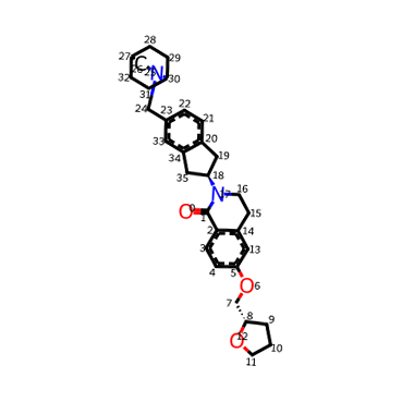 O=C1c2ccc(OC[C@@H]3CCCO3)cc2CCN1[C@@H]1Cc2ccc(CN3CC4CCC3CC4)cc2C1